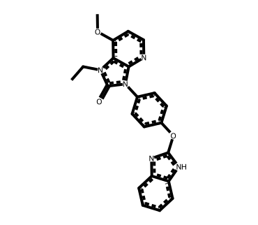 CCn1c(=O)n(-c2ccc(Oc3nc4ccccc4[nH]3)cc2)c2nccc(OC)c21